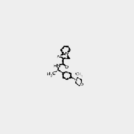 C[C@@H]1COCCN1c1ccc([C@@H](C)NC(=O)c2cn3ccccc3n2)cc1